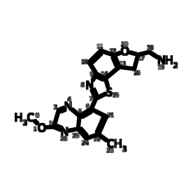 COc1cnc2c(-c3nc4ccc5c(c4s3)CC(CN)O5)cc(C)cc2n1